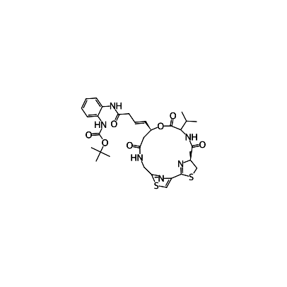 CC(C)C1NC(=O)[C@]2(C)CSC(=N2)c2csc(n2)CNC(=O)C[C@@H](/C=C/CC(=O)Nc2ccccc2NC(=O)OC(C)(C)C)OC1=O